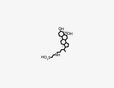 CC(CCCNCCS(=O)(=O)O)C1CCC2C3C[C@H](O)[C@@H]4C[C@H](O)CC[C@]4(C)C3CC[C@]12C